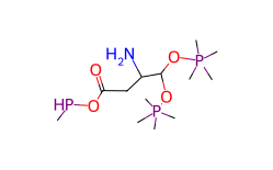 CPOC(=O)CC(N)C(OP(C)(C)(C)C)OP(C)(C)(C)C